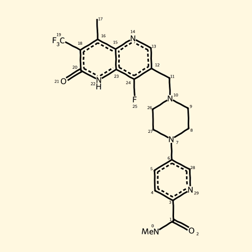 CNC(=O)c1ccc(N2CCN(Cc3cnc4c(C)c(C(F)(F)F)c(=O)[nH]c4c3F)CC2)cn1